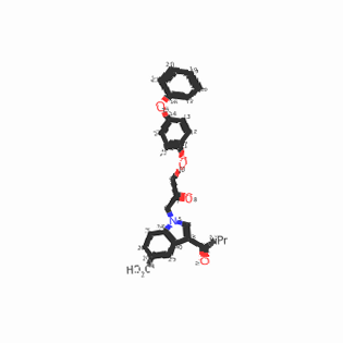 CC(C)C(=O)c1cn(CC(=O)COc2ccc(Oc3ccccc3)cc2)c2ccc(C(=O)O)cc12